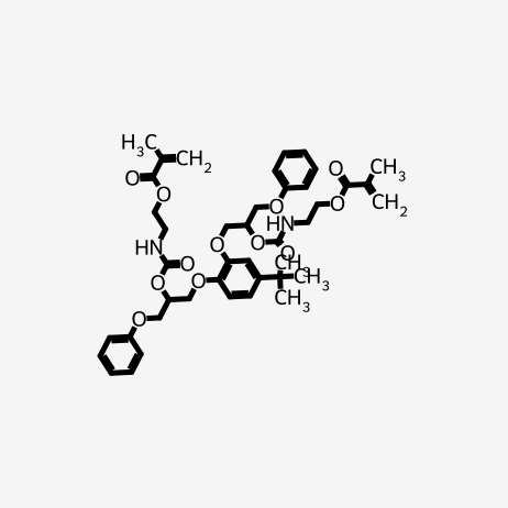 C=C(C)C(=O)OCCNC(=O)OC(COc1ccccc1)COc1ccc(C(C)(C)C)cc1OCC(COc1ccccc1)OC(=O)NCCOC(=O)C(=C)C